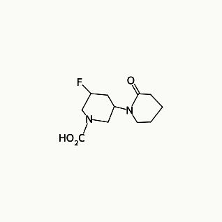 O=C(O)N1CC(F)CC(N2CCCCC2=O)C1